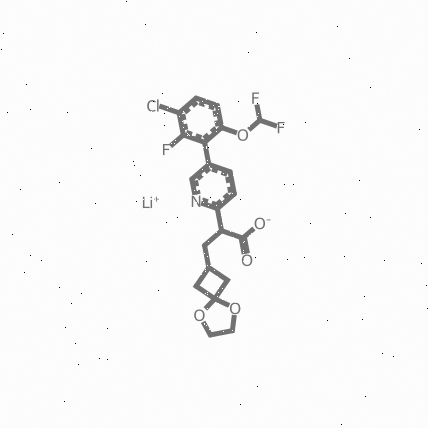 O=C([O-])C(CC1CC2(C1)OCCO2)c1ccc(-c2c(OC(F)F)ccc(Cl)c2F)cn1.[Li+]